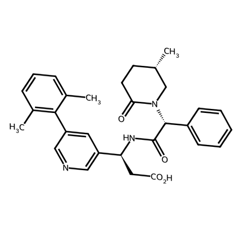 Cc1cccc(C)c1-c1cncc([C@H](CC(=O)O)NC(=O)[C@@H](c2ccccc2)N2C[C@@H](C)CCC2=O)c1